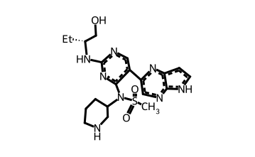 CC[C@H](CO)Nc1ncc(-c2cnc3[nH]ccc3n2)c(N(C2CCCNC2)S(C)(=O)=O)n1